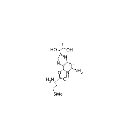 CSCC[C@H](N)C(=O)OC1NC(N)Nc2nc(C(O)C(C)O)cnc21